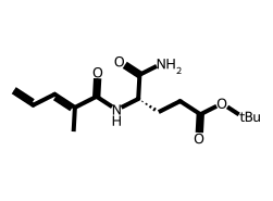 C=C/C=C(\C)C(=O)N[C@@H](CCC(=O)OC(C)(C)C)C(N)=O